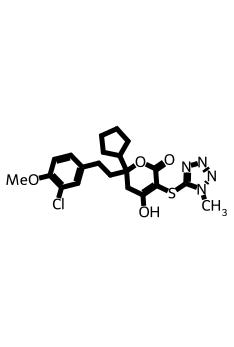 COc1ccc(CCC2(C3CCCC3)CC(O)=C(Sc3nnnn3C)C(=O)O2)cc1Cl